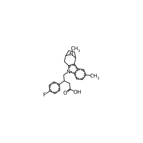 Cc1ccc2c(c1)c1c(n2CC(CC(=O)O)c2ccc(F)cc2)CC2CCC1N2C